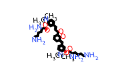 CN(C)c1ccc(/C=C/C(=O)C2CCC/C(=C\c3ccc(N(C)C)c(OC(=O)C(N)CCCCN)c3)C2=O)cc1OC(=O)C(N)CCCCN